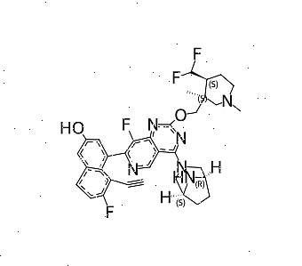 C#Cc1c(F)ccc2cc(O)cc(-c3ncc4c(N5C[C@H]6CC[C@@H](C5)N6)nc(OC[C@]5(C)CN(C)CC[C@@H]5C(F)F)nc4c3F)c12